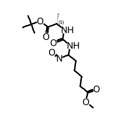 COC(=O)CCCCC(N=O)NC(=O)N[C@@H](C)C(=O)OC(C)(C)C